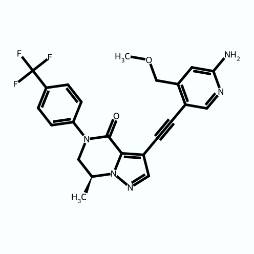 COCc1cc(N)ncc1C#Cc1cnn2c1C(=O)N(c1ccc(C(F)(F)F)cc1)C[C@@H]2C